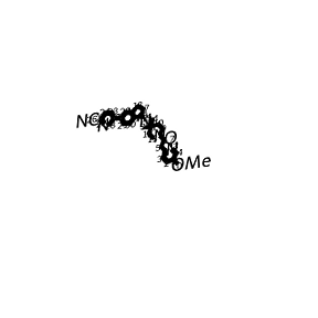 COc1ccc(CC(=O)N2CCC3(CC2)CN([C@@H]2CCc4cc(-c5ccc(C#N)nc5)ccc42)C3)nc1